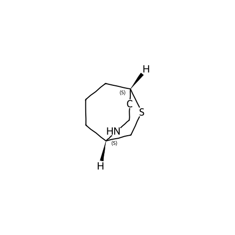 C1C[C@H]2CS[C@@H](C1)CCN2